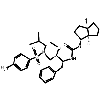 CO[C@H](CN(CC(C)C)S(=O)(=O)c1ccc(N)cc1)[C@H](Cc1ccccc1)NC(=O)O[C@H]1CC[C@H]2CCC[C@H]21